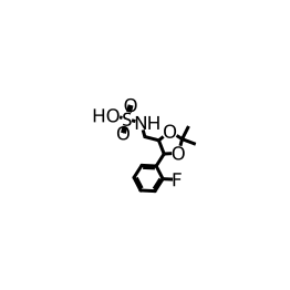 CC1(C)OC(CNS(=O)(=O)O)C(c2ccccc2F)O1